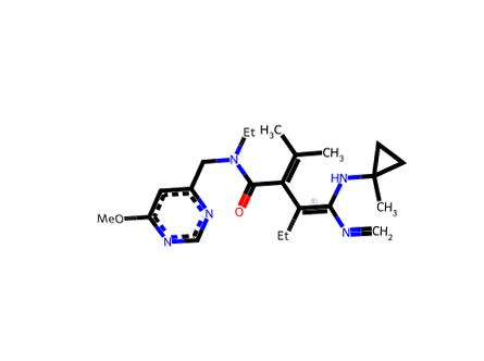 C=N/C(NC1(C)CC1)=C(\CC)C(C(=O)N(CC)Cc1cc(OC)ncn1)=C(C)C